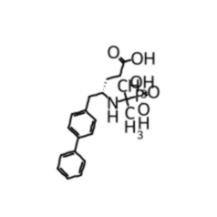 CC(C)(N[C@@H](CCC(=O)O)Cc1ccc(-c2ccccc2)cc1)P(=O)(O)O